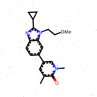 COCCn1c(C2CC2)nc2ccc(-c3cc(C)c(=O)n(C)c3)cc21